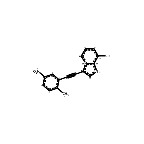 Cc1ccc([N+](=O)[O-])cc1C#Cc1cnc2c(Cl)cccn12